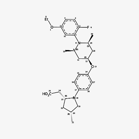 CCOc1ccc(F)c(N2[C@H](C)C[C@H](Oc3ccc(N4C[C@H](C)C[C@@H]4CC(=O)O)cc3)C[C@@H]2C)c1